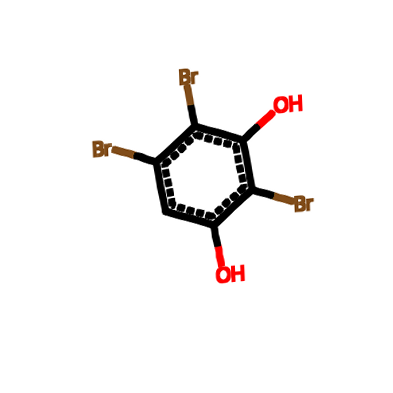 Oc1cc(Br)c(Br)c(O)c1Br